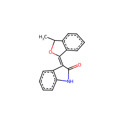 CC1OC(=C2C(=O)Nc3ccccc32)c2ccccc21